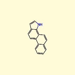 c1ccc2c(c1)ccc1c2ccc2cc[nH]c21